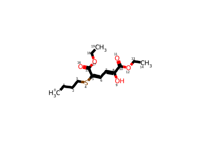 CCCCSC(=CC=C(O)C(=O)OCC)C(=O)OCC